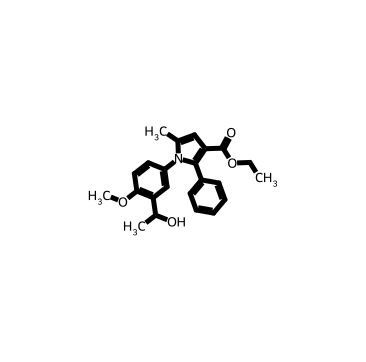 CCOC(=O)c1cc(C)n(-c2ccc(OC)c(C(C)O)c2)c1-c1ccccc1